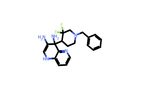 NC1=CNc2cccnc2C1(N)C1CCN(Cc2ccccc2)CC1(F)F